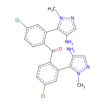 Cn1ncc(N)c1-c1cc(Cl)ccc1C(=O)c1ccc(Cl)cc1-c1c(N)cnn1C